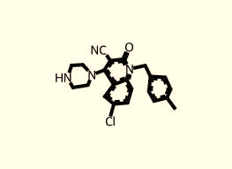 Cc1ccc(Cn2c(=O)c(C#N)c(N3CCNCC3)c3cc(Cl)ccc32)cc1